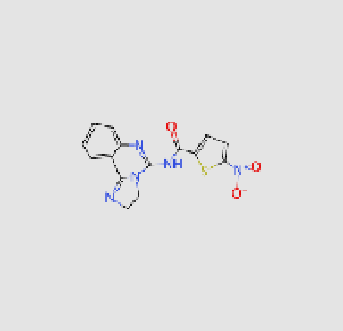 O=C(NC1=Nc2ccccc2C2=NCCN12)c1ccc([N+](=O)[O-])s1